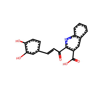 O=C(O)c1cc2ccccc2nc1C(=O)C=Cc1ccc(O)c(O)c1